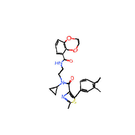 Cc1nc(C(=O)N(CCNC(=O)c2cccc3c2OCCO3)C2CC2)c(-c2ccc(C)c(C)c2)s1